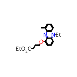 CC/N=C1\C=CC=C(OCCCC(=O)OCC)\C1=N\c1ccccc1C